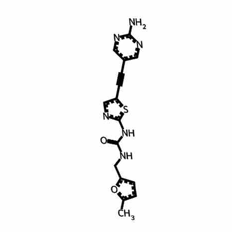 Cc1ccc(CNC(=O)Nc2ncc(C#Cc3cnc(N)nc3)s2)o1